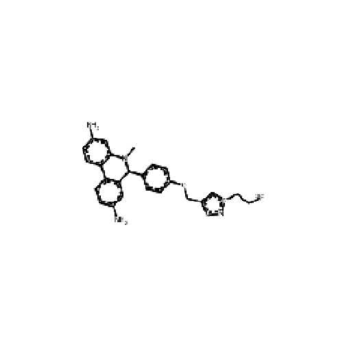 CN1c2cc(N)ccc2-c2ccc(N)cc2C1c1ccc(OCc2cn(CC[18F])nn2)cc1